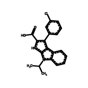 CC(C)n1c2ccccc2c2c(-c3cccc(Cl)c3)c(C(=O)O)[nH]c21